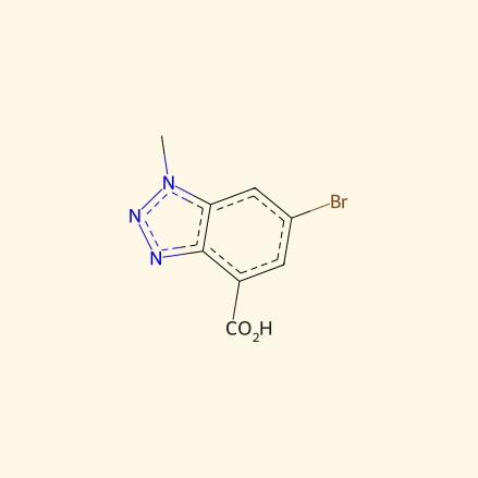 Cn1nnc2c(C(=O)O)cc(Br)cc21